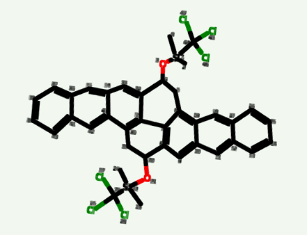 C[Si](C)(OC1Cc2c3c(cc4cc5ccccc5cc24)C(O[Si](C)(C)C(Cl)(Cl)Cl)Cc2c-3c1cc1cc3ccccc3cc21)C(Cl)(Cl)Cl